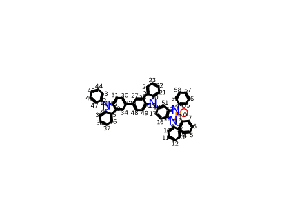 O=P1(c2ccccc2)N(c2ccccc2)c2ccc(-n3c4ccccc4c4cc(-c5ccc6c(c5)c5ccccc5n6-c5ccccc5)ccc43)cc2N1c1ccccc1